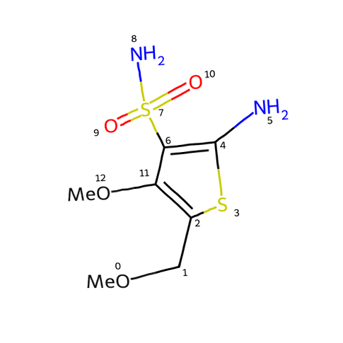 COCc1sc(N)c(S(N)(=O)=O)c1OC